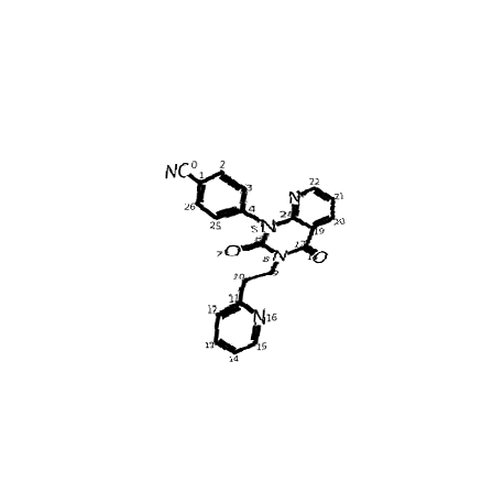 N#Cc1ccc(-n2c(=O)n(CCc3ccccn3)c(=O)c3cccnc32)cc1